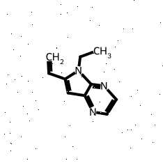 C=Cc1cc2nccnc2n1CC